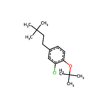 CC(C)(C)CCc1ccc(OC(C)(C)C)c(Cl)c1